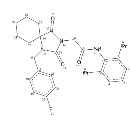 CC(C)c1cccc(C(C)C)c1NC(=O)CN1C(=O)N(Cc2ccc(F)cc2)C2(CCCCC2)C1=O